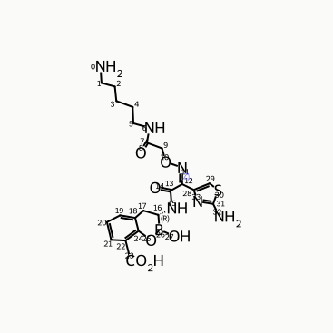 NCCCCCNC(=O)CO/N=C(\C(=O)N[C@H]1Cc2cccc(C(=O)O)c2OB1O)c1csc(N)n1